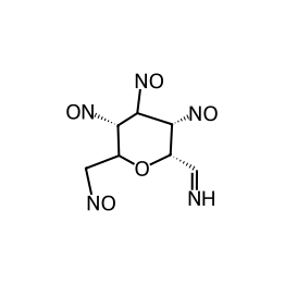 N=C[C@@H]1OC(CN=O)[C@H](N=O)C(N=O)[C@@H]1N=O